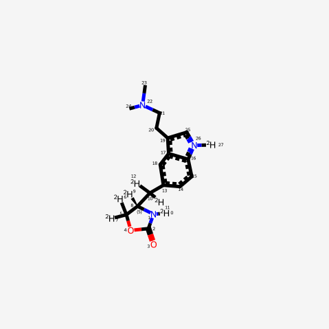 [2H]N1C(=O)OC([2H])([2H])[C@]1([2H])C([2H])([2H])c1ccc2c(c1)c(CCN(C)C)cn2[2H]